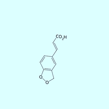 O=C(O)/C=C/c1ccc2c(c1)COO2